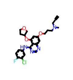 C#CCN(C)CCCOc1cc(OC2CCOC2)c2c(Nc3ccc(F)c(Cl)c3)ncnc2c1